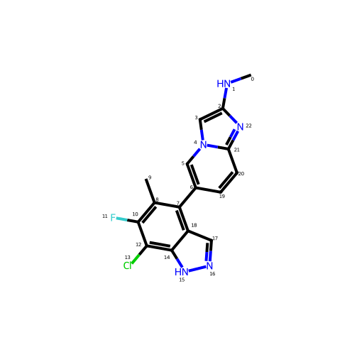 CNc1cn2cc(-c3c(C)c(F)c(Cl)c4[nH]ncc34)ccc2n1